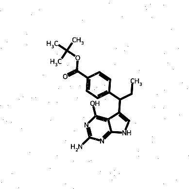 CCC(c1ccc(C(=O)OC(C)(C)C)cc1)c1c[nH]c2nc(N)nc(O)c12